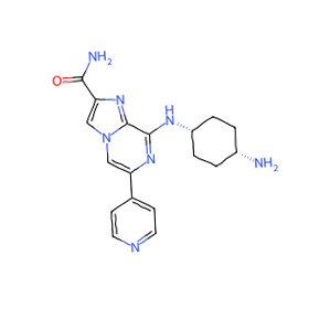 NC(=O)c1cn2cc(-c3ccncc3)nc(N[C@H]3CC[C@@H](N)CC3)c2n1